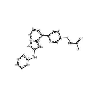 CC(=O)NCc1ccc(-c2cccn3nc(Nc4ccccc4)nc23)cc1